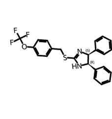 FC(F)(F)Oc1ccc(CSC2=N[C@@H](c3ccccc3)[C@@H](c3ccccc3)N2)cc1